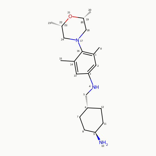 Cc1cc(NC[C@H]2CC[C@H](N)CC2)cc(C)c1N1C[C@@H](C)O[C@@H](C)C1